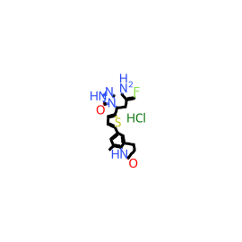 Cc1cc(-c2ccc(C(C/C(=C/F)CN)n3cn[nH]c3=O)s2)cc2c1NC(=O)CC2.Cl